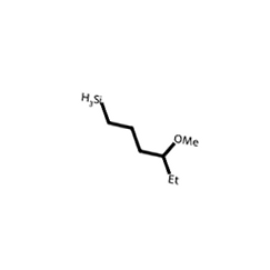 CCC(CCC[SiH3])OC